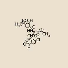 C[C@H]1CCN1C(=O)C[C@H](NC(=O)c1ccc(N(C)C(=O)O)cc1)C(=O)N1CCC[C@@]2(C1)OC(=O)Nc1ccc(Cl)cc12